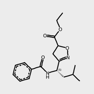 CCOC(=O)C1CC([C@H](CC(C)C)NC(=O)c2ccccc2)=NO1